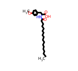 CCCCCCCCCCCCCCCCCC(=O)NC(Cc1c#cc(OC)cc1)C(=O)O